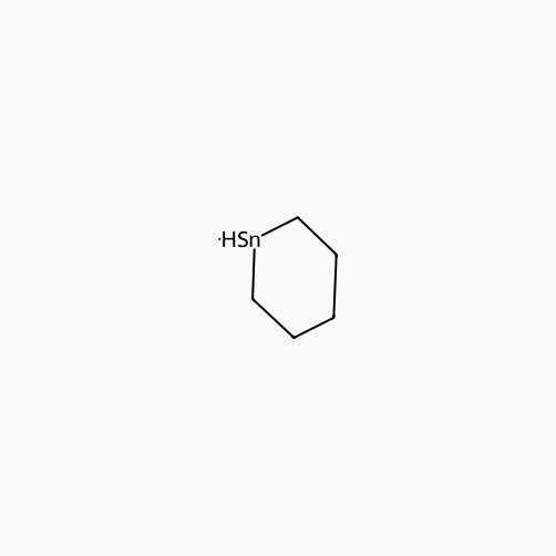 C1C[CH2][SnH][CH2]C1